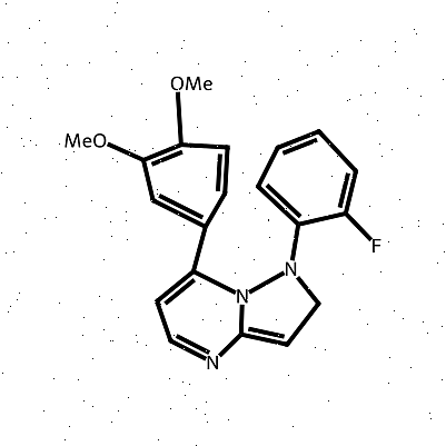 COc1ccc(C2=CC=NC3=CCN(c4ccccc4F)N32)cc1OC